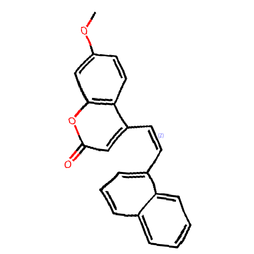 COc1ccc2c(/C=C\c3cccc4ccccc34)cc(=O)oc2c1